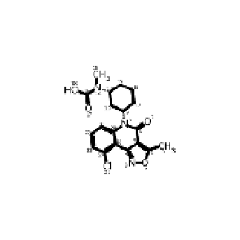 Cc1onc2c1c(=O)n([C@H]1CCC[C@@H](N(C)C(=O)O)C1)c1cccc(Cl)c21